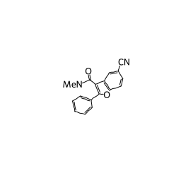 CNC(=O)c1c(-c2ccccc2)oc2ccc(C#N)cc12